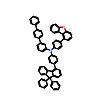 c1ccc(-c2ccc(-c3cccc(N(c4ccc(-c5cccc6c5-c5ccccc5C6(c5ccccc5)c5ccccc5)cc4)c4ccc(-c5cccc6oc7ccccc7c56)cc4)c3)cc2)cc1